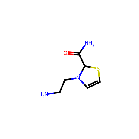 NCCN1C=CSC1C(N)=O